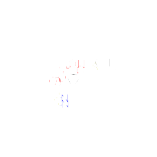 CSCCOc1ccc2c(c1C(=O)O)OB(O)[C@@H](Sc1nncs1)C2